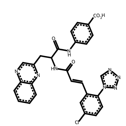 O=C(C=Cc1cc(Cl)ccc1-n1cnnn1)NC(Cc1cnc2ccccc2n1)C(=O)Nc1ccc(C(=O)O)cc1